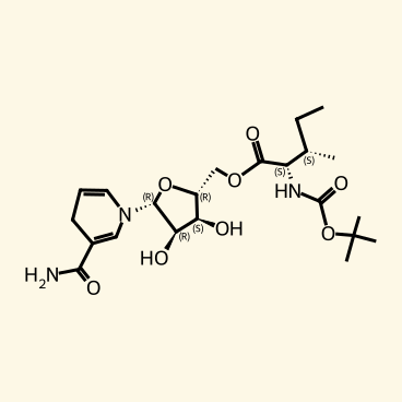 CC[C@H](C)[C@H](NC(=O)OC(C)(C)C)C(=O)OC[C@H]1O[C@@H](N2C=CCC(C(N)=O)=C2)[C@H](O)[C@@H]1O